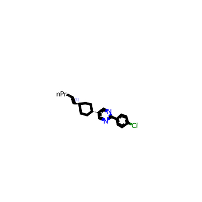 CCC/C=C/[C@H]1CC[C@H](c2cnc(-c3ccc(Cl)cc3)nc2)CC1